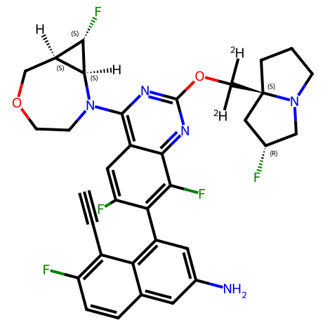 [2H]C([2H])(Oc1nc(N2CCOC[C@H]3[C@H](F)[C@H]32)c2cc(F)c(-c3cc(N)cc4ccc(F)c(C#C)c34)c(F)c2n1)[C@@]12CCCN1C[C@H](F)C2